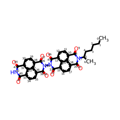 CCCCCC(C)N1C(=O)c2ccc3c4c(ccc(c24)C1=O)C(=O)N(N1C(=O)c2ccc4c5c(ccc(c25)C1=O)C(=O)NC4=O)C3=O